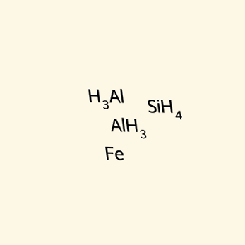 [AlH3].[AlH3].[Fe].[SiH4]